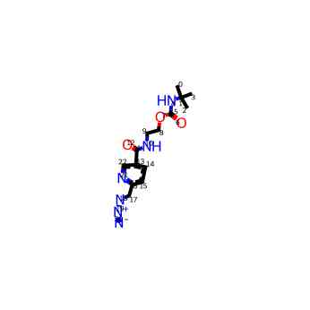 CC(C)(C)NC(=O)OCCNC(=O)c1ccc(CN=[N+]=[N-])nc1